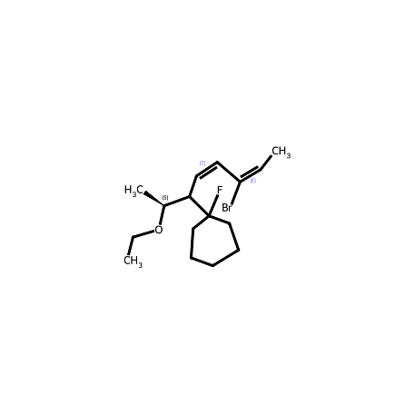 C/C=C(Br)\C=C/C([C@H](C)OCC)C1(F)CCCCC1